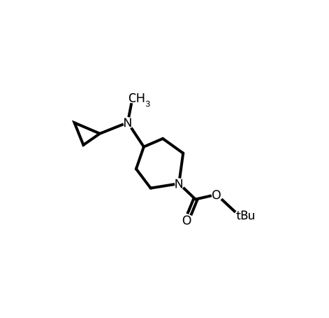 CN(C1CC1)C1CCN(C(=O)OC(C)(C)C)CC1